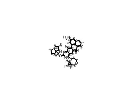 [2H]C([2H])(Oc1nc(N2CCOC[C@H]3[C@H](F)[C@H]32)c2cc(C#N)c(-c3cc(N)cc4ccc(F)c(C#C)c34)c(F)c2n1)[C@@]12CCCN1C[C@H](F)C2